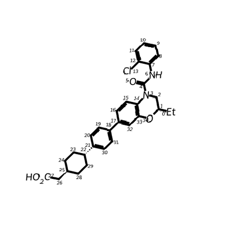 CCC1CN(C(=O)Nc2ccccc2Cl)c2ccc(-c3ccc([C@H]4CC[C@H](CC(=O)O)CC4)cc3)cc2O1